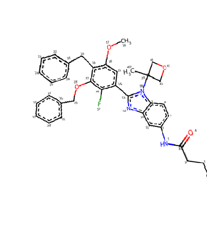 CCCC(=O)Nc1ccc2c(c1)nc(-c1cc(OC)c(Cc3ccccc3)c(OCc3ccccc3)c1F)n2C1(C)COC1